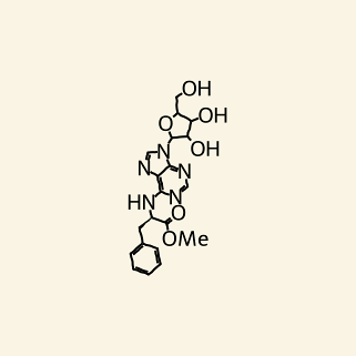 COC(=O)[C@@H](Cc1ccccc1)Nc1ncnc2c1ncn2C1OC(CO)C(O)C1O